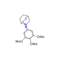 COc1cc(C2CC3CCC2NC3)cc(OC)c1OC